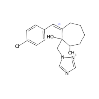 CC1CCCC/C(=C/c2ccc(Cl)cc2)C1(O)Cn1cncn1